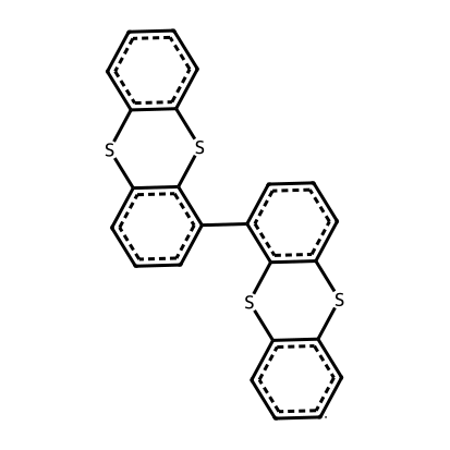 [c]1ccc2c(c1)Sc1cccc(-c3cccc4c3Sc3ccccc3S4)c1S2